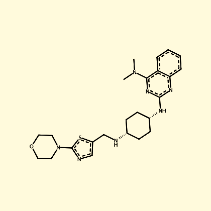 CN(C)c1nc(N[C@H]2CC[C@@H](NCc3cnc(N4CCOCC4)s3)CC2)nc2ccccc12